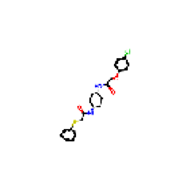 O=C(COc1ccc(Cl)cc1)N[C@H]1CC[C@H](NC(=O)CSc2ccccc2)CC1